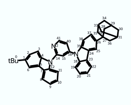 CC(C)(C)c1ccc2c(c1)c1ccccc1n2-c1cc(-n2c3ccccc3c3cc(C45CC6CC(CC(C6)C4)C5)ccc32)ccn1